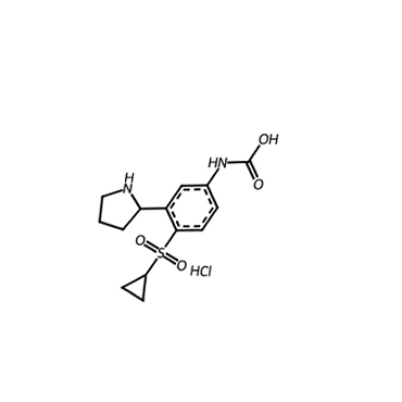 Cl.O=C(O)Nc1ccc(S(=O)(=O)C2CC2)c(C2CCCN2)c1